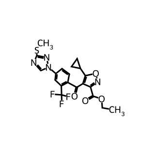 CCOC(=O)c1noc(C2CC2)c1C(=O)c1ccc(-n2cnc(SC)n2)cc1C(F)(F)F